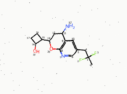 CC(F)(F)Cc1cnc2c(c1)C(N)CC(C1CCC1O)O2